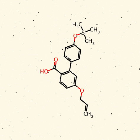 C=CCOc1ccc(C(=O)O)c(-c2ccc(O[Si](C)(C)C)cc2)c1